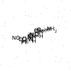 N#CCOc1ccc(-c2cnc3c(Nc4ccc(C(=O)NCCCCN)c(Cl)c4)nccn23)c(F)c1F